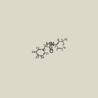 C/C=C\C(=C/C(C)C)NC(=O)Cc1ccccc1